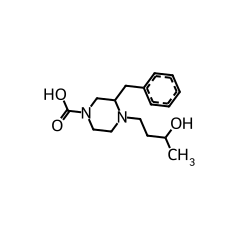 CC(O)CCN1CCN(C(=O)O)CC1Cc1ccccc1